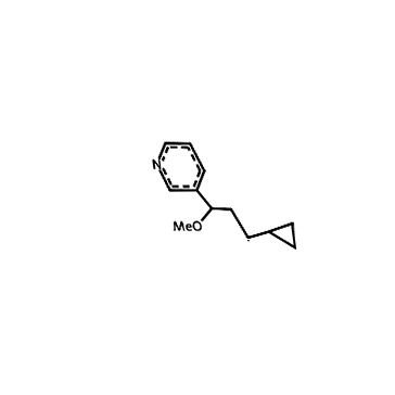 COC(C[CH]C1CC1)c1cccnc1